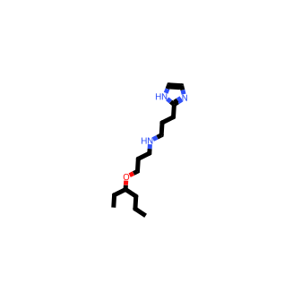 CCCC(CC)OCCCNCCCc1ncc[nH]1